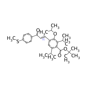 CSc1ccc(C(=O)/C=C/c2cc(C(C)C)c(C(=O)OC(C)(C)C)c(C(C)C)c2OC(C)C)cc1